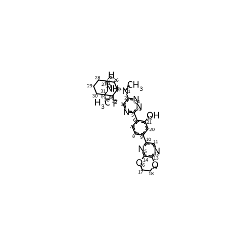 CN(c1cnc(-c2ccc(-c3cnc4c(n3)OCCO4)cc2O)nn1)[C@H]1C[C@@H]2CCC[C@@](C)(N2)[C@H]1F